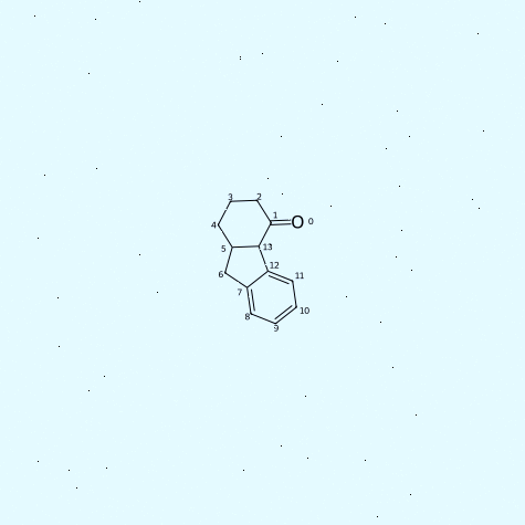 O=C1CCCC2Cc3ccccc3C12